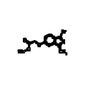 Cn1nc(Br)c2ccc(OCC(=O)OC(C)(C)C)cc21